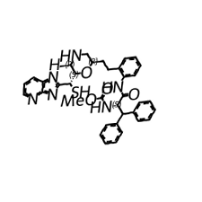 COC(=O)N[C@H](C(=O)Nc1ccccc1CC[C@@H]1CN[C@H](C)[C@@H](C(S)c2nc3ncccc3[nH]2)O1)C(c1ccccc1)c1ccccc1